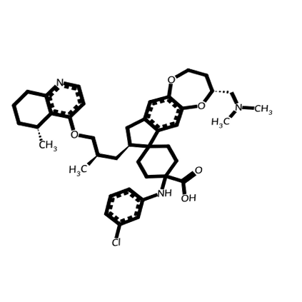 C[C@@H](COc1ccnc2c1[C@H](C)CCC2)C[C@H]1Cc2cc3c(cc2C12CCC(Nc1cccc(Cl)c1)(C(=O)O)CC2)O[C@@H](CN(C)C)CCO3